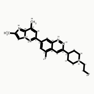 Cc1cn2nc(-c3cc(F)c4cc(C5CCN(CCF)CC5)nnc4c3)cc(C)c2n1